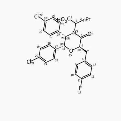 CCCC(C(=O)O)N1C(=O)[C@@H](Cc2ccc(F)cc2)O[C@H](c2ccc(Cl)cc2)[C@@H]1c1ccc(Cl)cc1